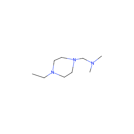 CCN1CCN(CN(C)C)CC1